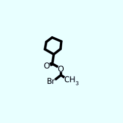 CC(Br)OC(=O)C1CCCCC1